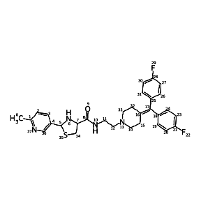 Cc1ccc(C2NC(C(=O)NCCN3CCC(=C(c4ccc(F)cc4)c4ccc(F)cc4)CC3)CS2)cn1